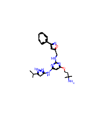 CC(C)c1cc(Nc2cc(OCCC(C)(C)N)nc(NCc3cc(-c4ccccc4)no3)n2)n[nH]1